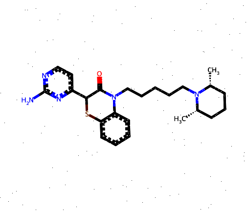 C[C@@H]1CCC[C@H](C)N1CCCCCN1C(=O)C(c2ccnc(N)n2)Sc2ccccc21